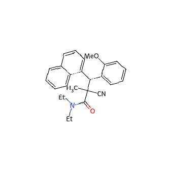 CCN(CC)C(=O)C(C)(C#N)C(c1ccccc1OC)c1cccc2ccccc12